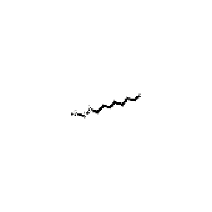 CCCCCCCCONO